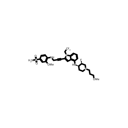 COCCCN1CC[C@@H](Nc2cccc3c2cc(C#CCNc2ccc(S(N)(=O)=O)cc2OC)n3CC(F)(F)F)[C@@H](F)C1